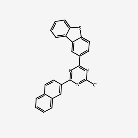 Clc1nc(-c2ccc3ccccc3c2)nc(-c2ccc3sc4ccccc4c3c2)n1